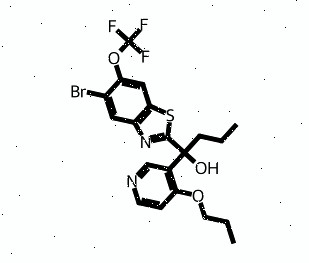 CCCOc1ccncc1C(O)(CCC)c1nc2cc(Br)c(OC(F)(F)F)cc2s1